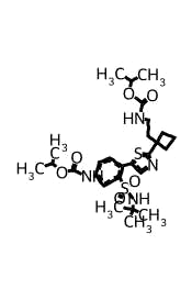 CC(C)OC(=O)NCCC1(c2ncc(-c3ccc(NC(=O)OC(C)C)cc3S(=O)(=O)NC(C)(C)C)s2)CCC1